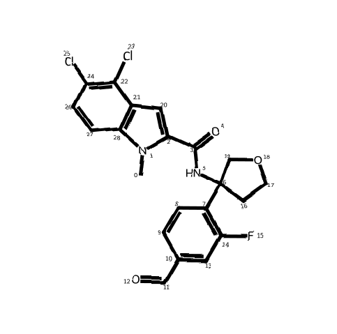 Cn1c(C(=O)NC2(c3ccc(C=O)cc3F)CCOC2)cc2c(Cl)c(Cl)ccc21